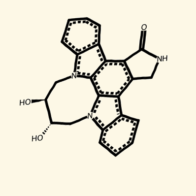 O=C1NCc2c1c1c3ccccc3n3c1c1c2c2ccccc2n1C[C@H](O)[C@@H](O)C3